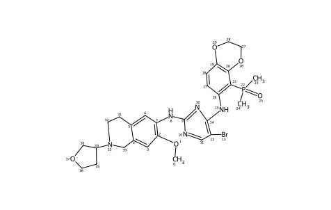 COc1cc2c(cc1Nc1ncc(Br)c(Nc3ccc4c(c3P(C)(C)=O)OCCO4)n1)CCN(C1CCOC1)C2